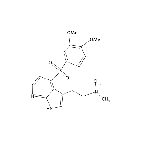 COc1ccc(S(=O)(=O)c2ccnc3[nH]cc(CCN(C)C)c23)cc1OC